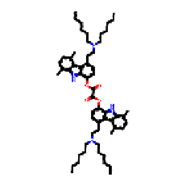 CCCCCCN(CCCCCC)CCc1ccc(OC(=O)C(=O)Oc2ccc(CCN(CCCCCC)CCCCCC)c3c2[nH]c2c(C)ccc(C)c23)c2[nH]c3c(C)ccc(C)c3c12